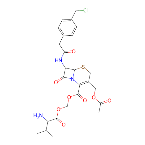 CC(=O)OCC1=C(C(=O)OCOC(=O)C(N)C(C)C)N2C(=O)C(NC(=O)Cc3ccc(CCl)cc3)C2SC1